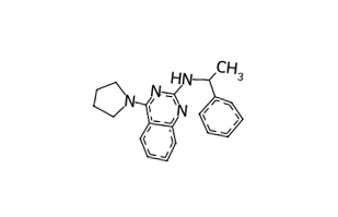 CC(Nc1nc(N2CCCC2)c2ccccc2n1)c1ccccc1